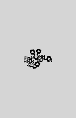 CC(C)[C@H](NC(=O)N(C)Cc1ccc2ccccc2n1)C(=O)N[C@@H](Cc1ccccc1)C[C@H](O)[C@H](Cc1ccccc1)NC(=O)OCc1cccnc1